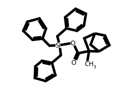 CC1(C(=O)O[Si](Cc2ccccc2)(Cc2ccccc2)Cc2ccccc2)CC2C=CC1C2